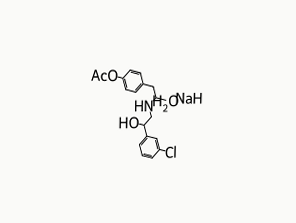 CC(=O)Oc1ccc(CC(C)NCC(O)c2cccc(Cl)c2)cc1.O.[NaH]